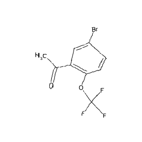 CC(=O)c1cc(Br)ccc1OC(F)(F)F